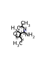 CCC1=C(/C(N)=N\C(C)C)COC1